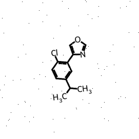 CC(C)c1ccc(Cl)c(-c2cocn2)c1